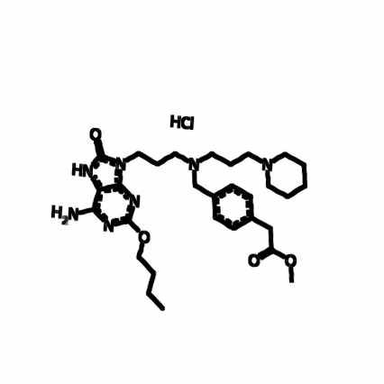 CCCCOc1nc(N)c2[nH]c(=O)n(CCCN(CCCN3CCCCC3)Cc3ccc(CC(=O)OC)cc3)c2n1.Cl